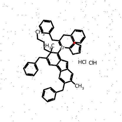 CCCCC1(C)C(Cc2ccccc2)=CC2=c3cc(Cc4ccccc4)c(C)cc3=CC2=[C]1[Zr]([C]1=CC=CC1)=[C](Cc1ccccc1)Cc1ccccc1.Cl.Cl